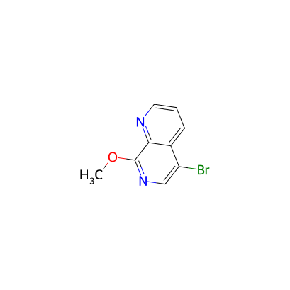 COc1ncc(Br)c2cccnc12